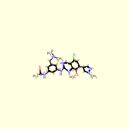 COc1c(-c2cnn(C)c2)cc(Cl)c2cnc(Nc3cc(CN(C)C)cc(NC(C)=O)c3)nc12